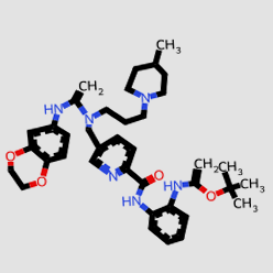 C=C(Nc1ccccc1NC(=O)c1ccc(CN(CCCN2CCC(C)CC2)C(=C)Nc2ccc3c(c2)OCCO3)cn1)OC(C)(C)C